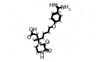 CC(CCCCOc1ccc(C(=N)N)cc1)(CC(=O)O)N1CCNC(=O)C1=O